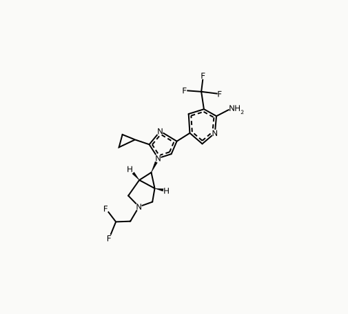 Nc1ncc(-c2cn([C@H]3[C@@H]4CN(CC(F)F)C[C@@H]43)c(C3CC3)n2)cc1C(F)(F)F